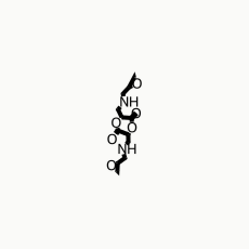 O=C1OC(CNCC2CO2)C(=O)OC1CNCC1CO1